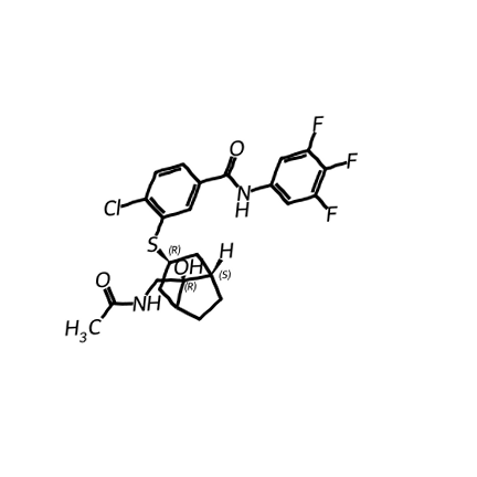 CC(=O)NC[C@@]1(O)C2CC[C@H]1C[C@H](Sc1cc(C(=O)Nc3cc(F)c(F)c(F)c3)ccc1Cl)C2